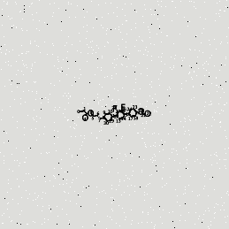 C=CC(=O)OCCCc1ccc(-c2ccc(-c3ccc(OC=O)cc3)c(F)c2F)cc1